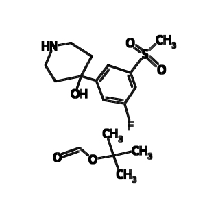 CC(C)(C)OC=O.CS(=O)(=O)c1cc(F)cc(C2(O)CCNCC2)c1